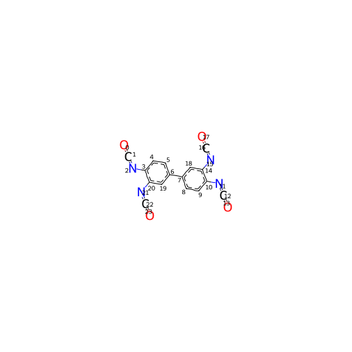 O=C=Nc1ccc(-c2ccc(N=C=O)c(N=C=O)c2)cc1N=C=O